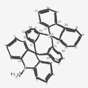 NN1c2ccccc2C2(c3ccccc31)c1ccccc1[Si]1(c3ccccc3-c3ccccc31)c1ccccc12